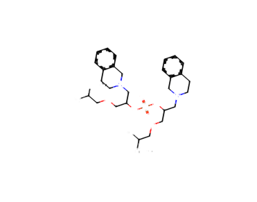 CCCCCCC(CCCC)COCC(CN1CCc2ccccc2C1)OS(=O)(=O)OC(COCC(CCCC)CCCCCC)CN1CCc2ccccc2C1